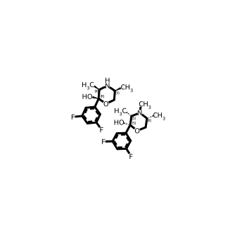 C[C@@H]1CO[C@@](O)(c2cc(F)cc(F)c2)[C@H](C)N1C.C[C@H]1CO[C@](O)(c2cc(F)cc(F)c2)[C@@H](C)N1